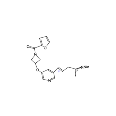 CN[C@@H](C)C/C=C/c1cncc(OC2CN(C(=O)c3ccco3)C2)c1